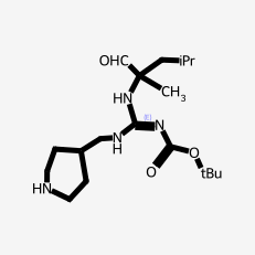 CC(C)CC(C)(C=O)N/C(=N/C(=O)OC(C)(C)C)NCC1CCNCC1